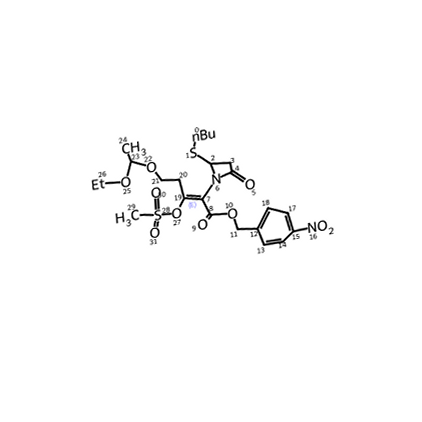 CCCCSC1CC(=O)N1/C(C(=O)OCc1ccc([N+](=O)[O-])cc1)=C(\CCOC(C)OCC)OS(C)(=O)=O